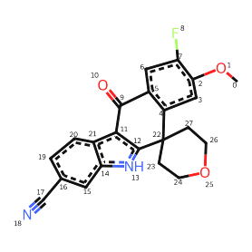 COc1cc2c(cc1F)C(=O)c1c([nH]c3cc(C#N)ccc13)C21CCOCC1